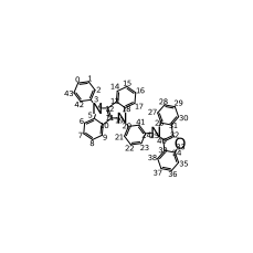 c1ccc(-n2c3ccccc3c3c2c2ccccc2n3-c2cccc(-n3c4ccccc4c4oc5ccccc5c43)c2)cc1